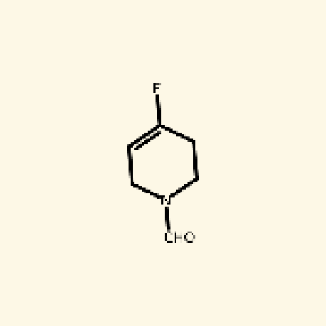 O=CN1CC=C(F)CC1